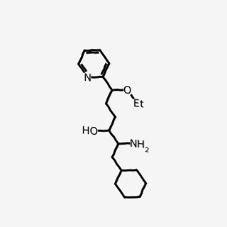 CCOC(CCC(O)C(N)CC1CCCCC1)c1ccccn1